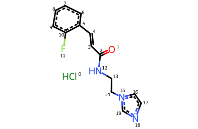 Cl.O=C(C=Cc1ccccc1F)NCCn1ccnc1